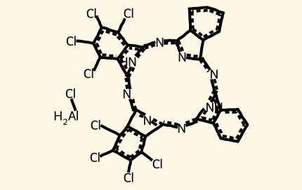 Clc1c(Cl)c(Cl)c2c(c1Cl)-c1nc-2nc2[nH]c(nc3nc(nc4[nH]c(n1)c1ccccc41)-c1ccccc1-3)c1c(Cl)c(Cl)c(Cl)c(Cl)c21.[AlH2][Cl]